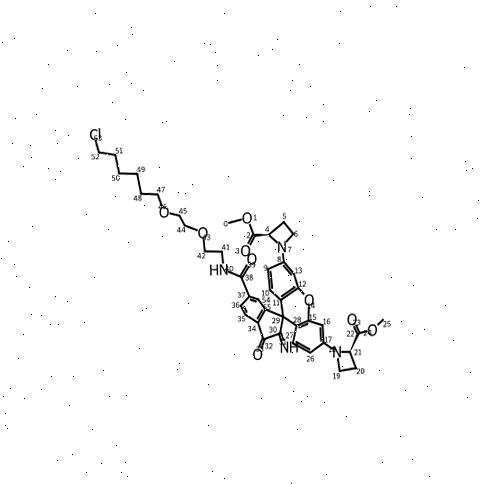 COC(=O)[C@H]1CCN1c1ccc2c(c1)Oc1cc(N3CC[C@@H]3C(=O)OC)ccc1C21C(=N)C(=O)c2ccc(C(=O)NCCOCCOCCCCCCCl)cc21